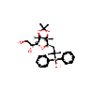 CC1(C)O[C@H]2[C@@H]([C@H](O)CO)O[C@H](CC(C)(C)[Si](O)(c3ccccc3)c3ccccc3)[C@H]2O1